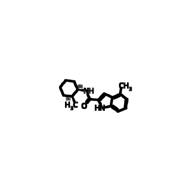 Cc1cccc2[nH]c(C(=O)N[C@@H]3CCCC[C@@H]3C)cc12